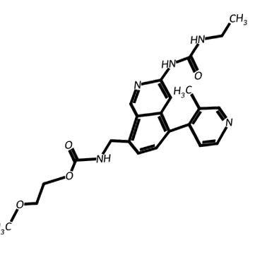 CCNC(=O)Nc1cc2c(-c3ccncc3C)ccc(CNC(=O)OCCOC)c2cn1